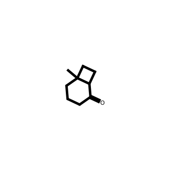 CC12CCCC(=O)C1CC2